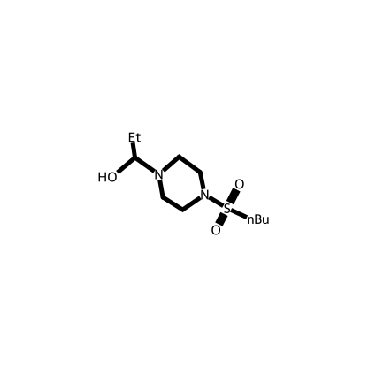 CCCCS(=O)(=O)N1CCN(C(O)CC)CC1